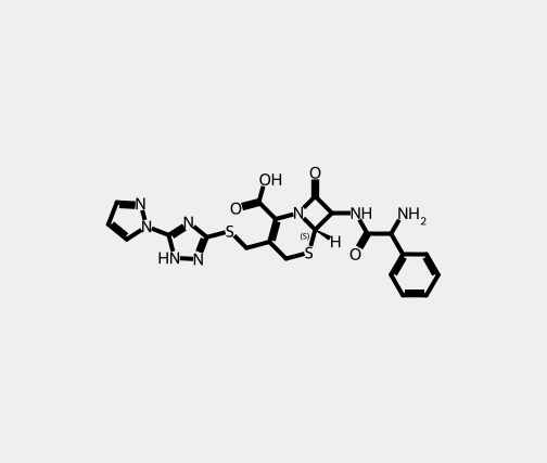 NC(C(=O)NC1C(=O)N2C(C(=O)O)=C(CSc3n[nH]c(-n4cccn4)n3)CS[C@@H]12)c1ccccc1